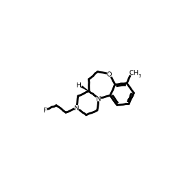 Cc1cccc2c1OCC[C@H]1CN(CCF)CCN21